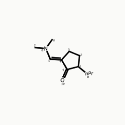 CCCC1CCC(=CN(C)C)C1=O